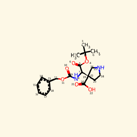 CC(C)(C)OC(=O)C(NC(=O)OCc1ccccc1)[C@]1(C(=O)O)CCNC1